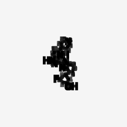 Oc1cc(F)cc(-c2cccc3[nH]c(-c4n[nH]c5ccc(-c6ccncc6)nc45)nc23)c1